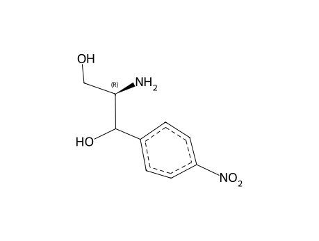 N[C@H](CO)C(O)c1ccc([N+](=O)[O-])cc1